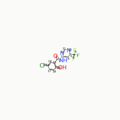 O=C(Nc1cc(C(F)(F)F)ncn1)c1cc(Cl)ccc1O